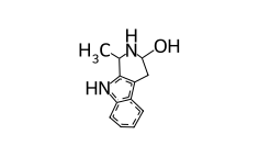 CC1NC(O)Cc2c1[nH]c1ccccc21